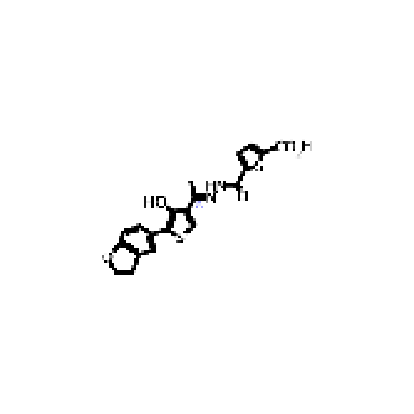 C/C(=N\NC(=O)c1ccc(C(=O)O)s1)c1csc(-c2ccc3c(c2)CCO3)c1O